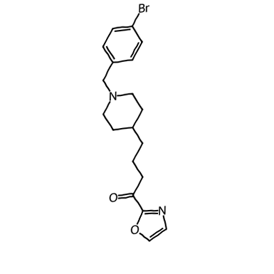 O=C(CCCC1CCN(Cc2ccc(Br)cc2)CC1)c1ncco1